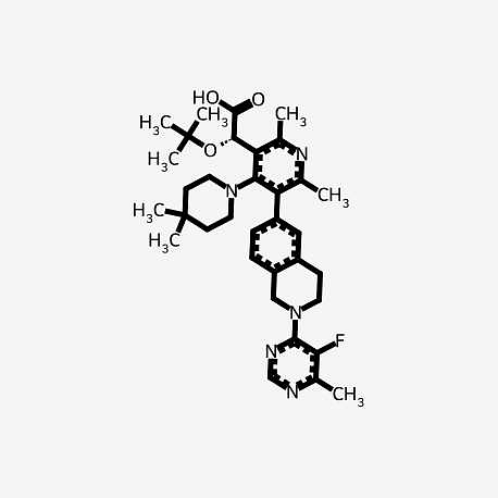 Cc1ncnc(N2CCc3cc(-c4c(C)nc(C)c([C@H](OC(C)(C)C)C(=O)O)c4N4CCC(C)(C)CC4)ccc3C2)c1F